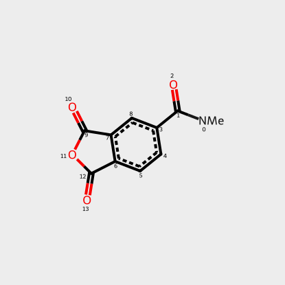 CNC(=O)c1ccc2c(c1)C(=O)OC2=O